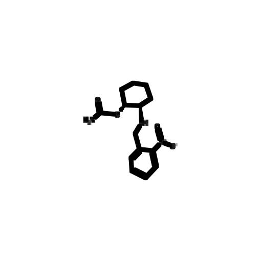 NC(=O)O[C@@H]1CCCC[C@H]1NCc1ccccc1[N+](=O)[O-]